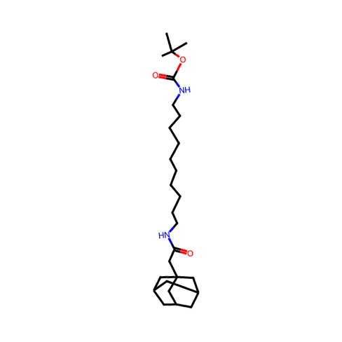 CC(C)(C)OC(=O)NCCCCCCCCCCNC(=O)CC12CC3CC(CC(C3)C1)C2